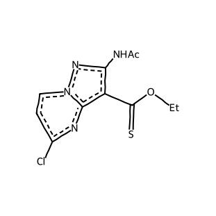 CCOC(=S)c1c(NC(C)=O)nn2ccc(Cl)nc12